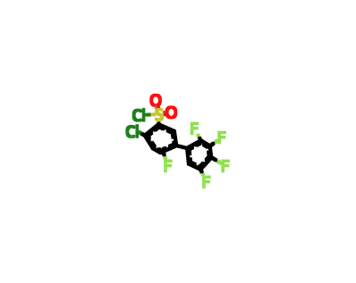 O=S(=O)(Cl)c1cc(-c2cc(F)c(F)c(F)c2F)c(F)cc1Cl